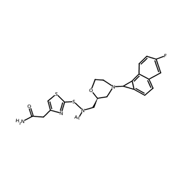 CC(=O)N(C[C@@H]1CN(C2c3ccc4cc(F)ccc4c32)CCO1)Sc1nc(CC(N)=O)cs1